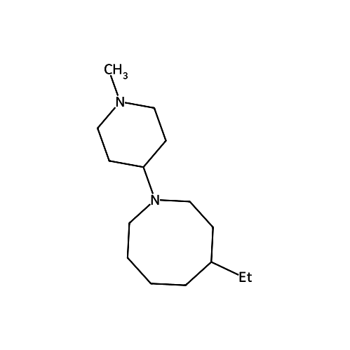 CCC1CCCCN(C2CCN(C)CC2)CC1